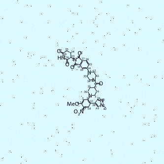 COc1cc(N2CCC(C(=O)N3CCN(c4ccc5c(c4)C(=O)N(C4CCC(=O)NC4=O)C5=O)CC3)CC2)c(-c2cnn(C)c2)cc1[N+](=O)[O-]